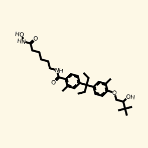 CCC(CC)(c1ccc(OCC(O)C(C)(C)C)c(C)c1)c1ccc(C(=O)NCCCCCC(=O)NO)c(C)c1